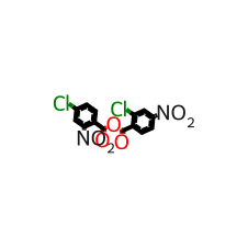 O=C(OC(=O)c1ccc(Cl)cc1[N+](=O)[O-])c1ccc([N+](=O)[O-])cc1Cl